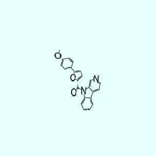 COc1ccc(-c2ccc(C(=O)n3c4ccccc4c4ccncc43)o2)cc1